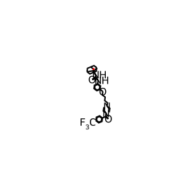 O=C(Nc1cccc(OCCCCN2CCN(C(=O)c3ccc(C(F)(F)F)cc3)CC2)c1)NC12CC3CC(CC(C3)C1)C2